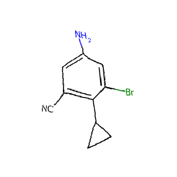 N#Cc1cc(N)cc(Br)c1C1CC1